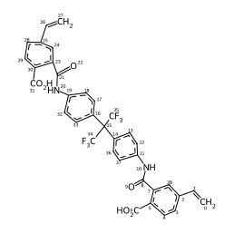 C=Cc1ccc(C(=O)O)c(C(=O)Nc2ccc(C(c3ccc(NC(=O)c4cc(C=C)ccc4C(=O)O)cc3)(C(F)(F)F)C(F)(F)F)cc2)c1